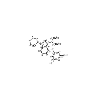 COC(OC)c1nn(C2CCCCO2)c2cccc(Cc3cc(F)cc(F)c3)c12